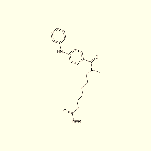 CNC(=O)CCCCCCN(C)C(=O)c1ccc(Nc2ccccc2)cc1